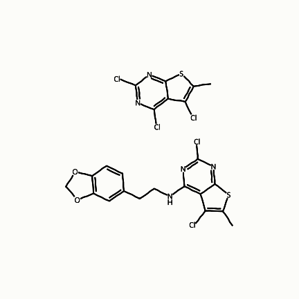 Cc1sc2nc(Cl)nc(Cl)c2c1Cl.Cc1sc2nc(Cl)nc(NCCc3ccc4c(c3)OCO4)c2c1Cl